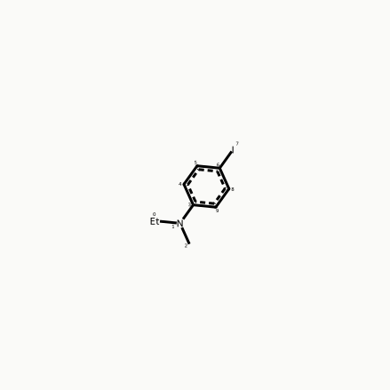 CCN(C)c1ccc(I)cc1